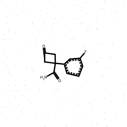 NC(=O)C1(c2cccc(F)c2)CC(=O)C1